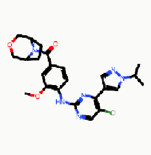 COc1cc(C(=O)N2C3CCC2COC3)ccc1Nc1ncc(Cl)c(-c2cnn(C(C)C)c2)n1